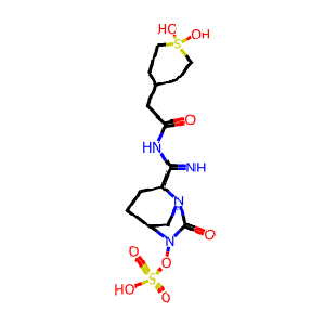 N=C(NC(=O)CC1CCS(O)(O)CC1)C1CCC2CN1C(=O)N2OS(=O)(=O)O